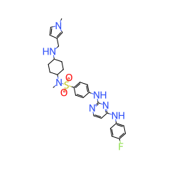 CN(C1CCC(NCc2ccn(C)c2)CC1)S(=O)(=O)c1ccc(Nc2nccc(Nc3ccc(F)cc3)n2)cc1